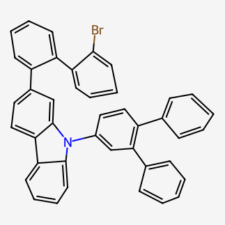 Brc1ccccc1-c1ccccc1-c1ccc2c3ccccc3n(-c3ccc(-c4ccccc4)c(-c4ccccc4)c3)c2c1